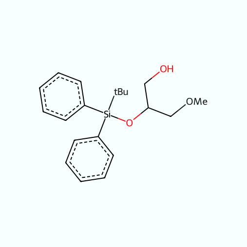 COCC(CO)O[Si](c1ccccc1)(c1ccccc1)C(C)(C)C